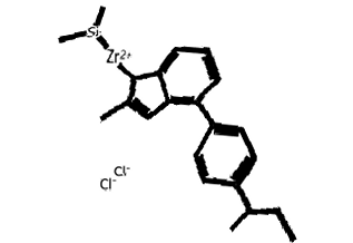 CCC(C)c1ccc(-c2cccc3c2C=C(C)[CH]3[Zr+2][Si](C)C)cc1.[Cl-].[Cl-]